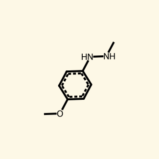 CNNc1ccc(OC)cc1